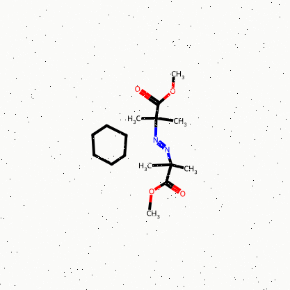 C1CCCCC1.COC(=O)C(C)(C)N=NC(C)(C)C(=O)OC